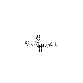 Cc1ccc(C=NNc2cc(N3CCOCC3)nc(OCCc3ccccn3)n2)cc1